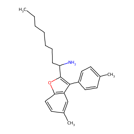 CCCCCCCC(N)c1oc2ccc(C)cc2c1-c1ccc(C)cc1